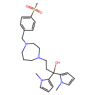 Cn1cccc1C(O)(CCN1CCCN(Cc2ccc(S(C)(=O)=O)cc2)CC1)c1cccn1C